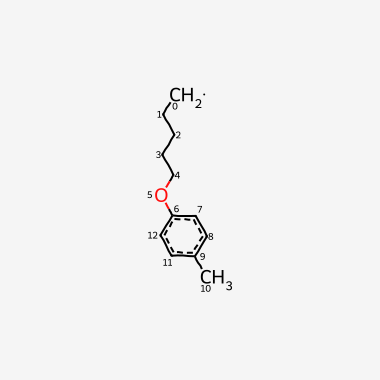 [CH2]CCCCOc1ccc(C)cc1